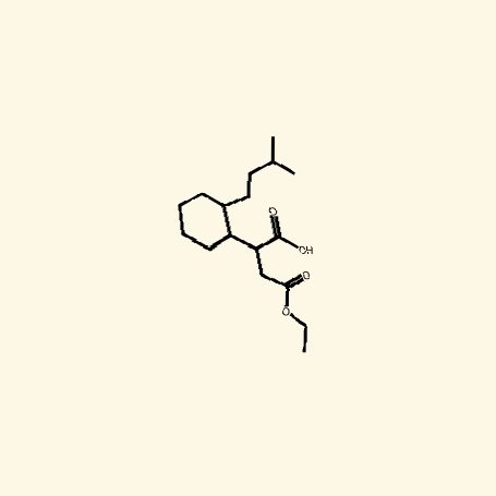 CCOC(=O)CC(C(=O)O)C1CCCCC1CCC(C)C